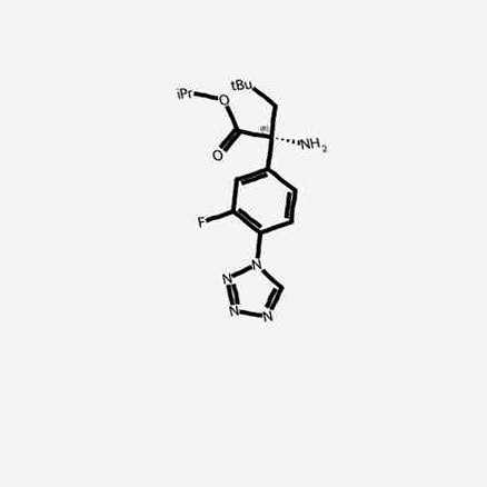 CC(C)OC(=O)[C@@](N)(CC(C)(C)C)c1ccc(-n2cnnn2)c(F)c1